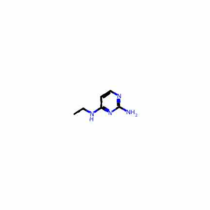 CCNc1ccnc(N)n1